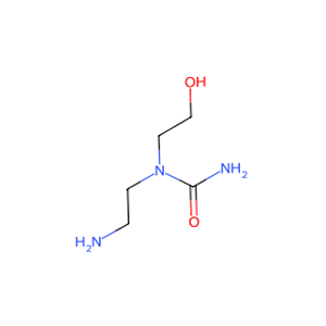 NCCN(CCO)C(N)=O